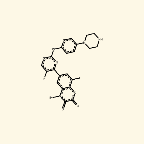 CC(C)n1c(=O)c(=O)sc2c(F)cc(-c3nc(Nc4ccc(N5CCNCC5)cn4)ncc3F)cc21